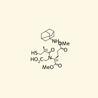 COC(=O)CC[C@@H](C(=O)OC)N(CC(=O)O)C(=O)[C@H](C)CS.NC12CC3CC(CC(C3)C1)C2